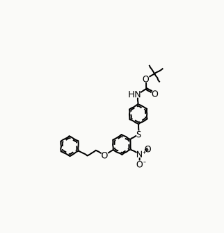 CC(C)(C)OC(=O)Nc1ccc(Sc2ccc(OCCc3ccccc3)cc2[N+](=O)[O-])cc1